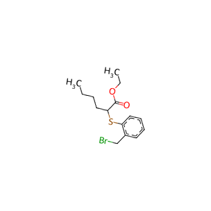 CCCCC(Sc1ccccc1CBr)C(=O)OCC